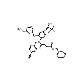 N#Cc1ccc(CN(C(=O)CCC(=O)NCc2ccccn2)c2ccccc2Oc2cccc(CN)c2)cc1.O=C(O)C(F)(F)F